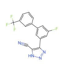 N#Cc1[nH]nnc1-c1cc(F)cc(-c2cccc(C(F)(F)F)c2)c1